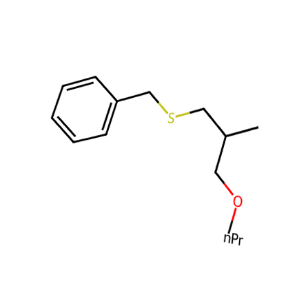 CCCOCC(C)CSCc1ccccc1